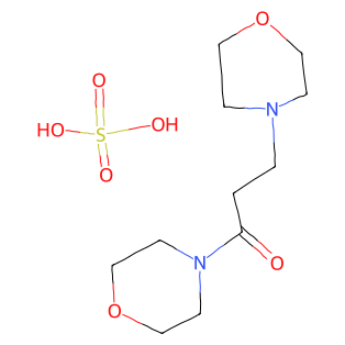 O=C(CCN1CCOCC1)N1CCOCC1.O=S(=O)(O)O